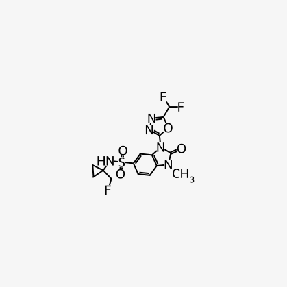 Cn1c(=O)n(-c2nnc(C(F)F)o2)c2cc(S(=O)(=O)NC3(CF)CC3)ccc21